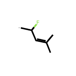 [CH2]C(F)C=C(C)C